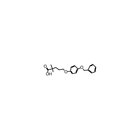 CC(C)(CCCOc1ccc(OCc2ccccc2)cc1)C(=O)O